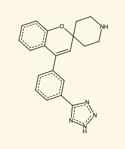 C1=C(c2cccc(-c3nn[nH]n3)c2)c2ccccc2OC12CCNCC2